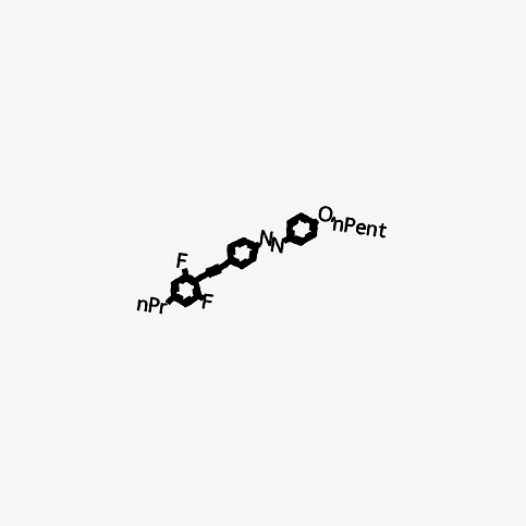 CCCCCOc1ccc(N=Nc2ccc(C#Cc3c(F)cc(CCC)cc3F)cc2)cc1